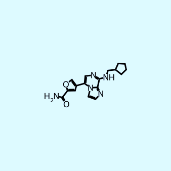 NC(=O)c1cc(-c2cnc(NCC3CCCC3)c3nccn23)co1